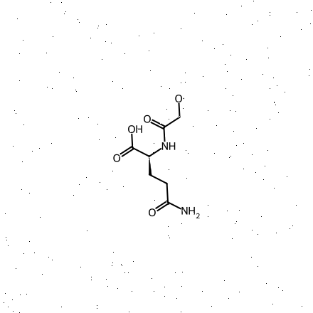 NC(=O)CC[C@H](NC(=O)C[O])C(=O)O